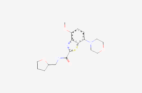 COc1ccc(N2CCOCC2)c2sc(C(=O)NCC3CCCO3)nc12